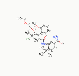 CCOCCOC(C(CC(=O)Nc1cc(C(N)=O)ccc1C(C)(C)C)c1ccccc1OC)C(C)(C)Cl